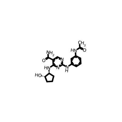 CC(=O)Nc1cccc(Nc2ncc(C(N)=O)c(N[C@H]3CCC[C@@H]3O)n2)c1